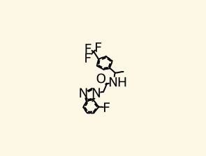 CC(NC(=O)Cn1cnc2cccc(F)c21)c1ccc(C(F)(F)F)cc1